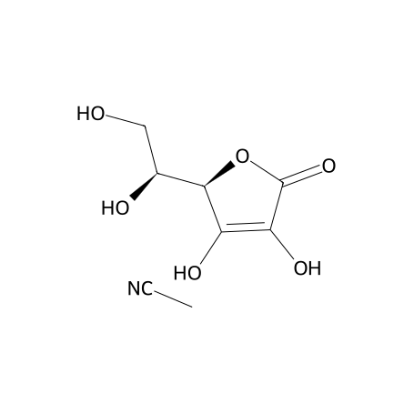 CC#N.O=C1O[C@H]([C@@H](O)CO)C(O)=C1O